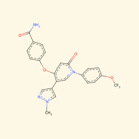 Cn1cc(-c2cn(-c3ccc(OC(F)(F)F)cc3)c(=O)cc2Oc2ccc(C(N)=O)cc2)cn1